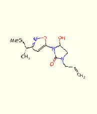 C=CCN1CC(O)N(c2cc(C(C)SC)no2)C1=O